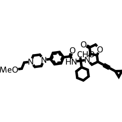 COCCN1CCN(c2ccc(C(=O)NC(C=O)(C3CCCCC3)N3CC(C#CC4CC4)C4OCC(=O)C43)cc2)CC1